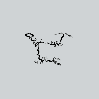 CCCCCC(CCCCC)CCCOC(=O)C(C)(C)CCCCCCOC(=O)[C@@H]1CC(OC(=O)CN2CCCC2)CN1CCCCCCC(C)(C)C(=O)OCCCC(CCCCC)CCCCC